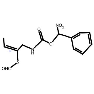 C/C=C(\CNC(=O)OC(c1ccccc1)[N+](=O)[O-])SC=O